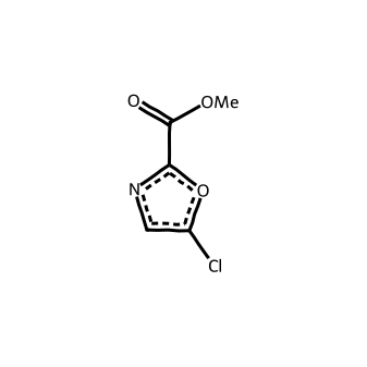 COC(=O)c1ncc(Cl)o1